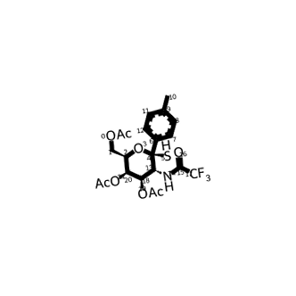 CC(=O)OC[C@H]1O[C@](S)(c2ccc(C)cc2)[C@H](NC(=O)C(F)(F)F)[C@@H](OC(C)=O)[C@H]1OC(C)=O